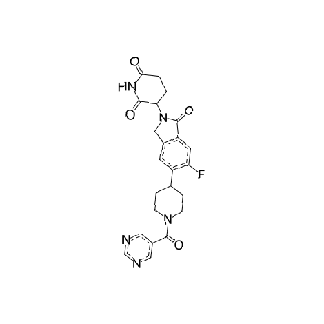 O=C1CCC(N2Cc3cc(C4CCN(C(=O)c5cncnc5)CC4)c(F)cc3C2=O)C(=O)N1